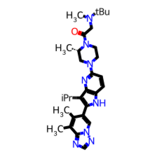 Cc1c(-c2[nH]c3ccc(N4CCN(C(=O)CN(C)C(C)(C)C)[C@@H](C)C4)nc3c2C(C)C)cn2ncnc2c1C